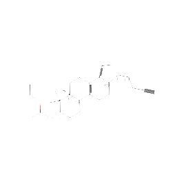 C#CC[C@@H](C)[C@H]1CC=C2C3=C(CC[C@@]21C)[C@@]1(C)CC[C@H](OC(C)OCC)C(C)(C)[C@@H]1CC3